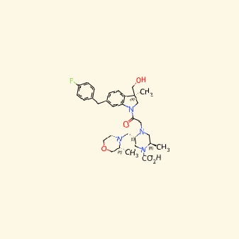 C[C@@H]1COCCN1C[C@H]1CN(C(=O)O)[C@H](C)CN1CC(=O)N1C[C@](C)(CO)c2ccc(Cc3ccc(F)cc3)cc21